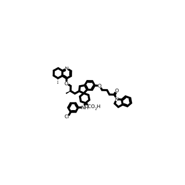 C[C@@H](COc1ccnc2c1[C@H](C)CCC2)CC1Cc2ccc(OCCCC(=O)N3CCc4ccccc43)cc2C12CCC(Nc1cccc(Cl)c1)(C(=O)O)CC2